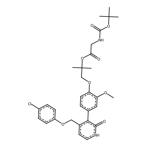 COc1cc(-c2c(COc3ccc(Cl)cc3)cc[nH]c2=O)ccc1OCC(C)(C)OC(=O)CNC(=O)OC(C)(C)C